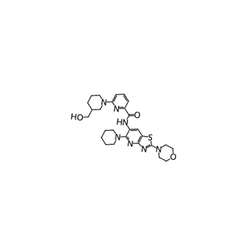 O=C(Nc1cc2sc(N3CCOCC3)nc2nc1N1CCCCC1)c1cccc(N2CCCC(CO)C2)n1